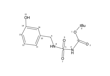 CC(C)(C)OC(=O)NS(=O)(=O)NCc1cccc(O)c1